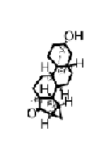 C[C@]12CC[C@H](O)C[C@@H]1CC[C@H]1[C@@H]3[C@@H]4C[C@@H]4C(=O)[C@@]3(C)CC[C@@H]12